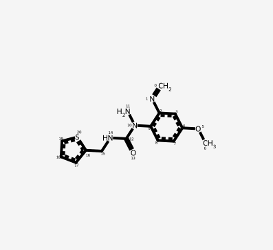 C=Nc1cc(OC)ccc1N(N)C(=O)NCc1cccs1